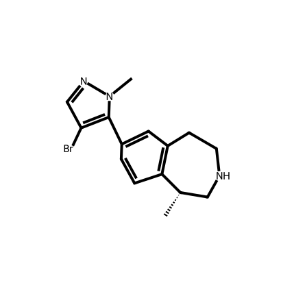 C[C@H]1CNCCc2cc(-c3c(Br)cnn3C)ccc21